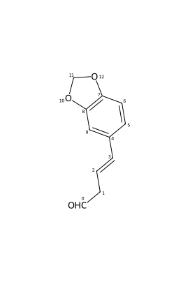 O=CCC=Cc1ccc2c(c1)OCO2